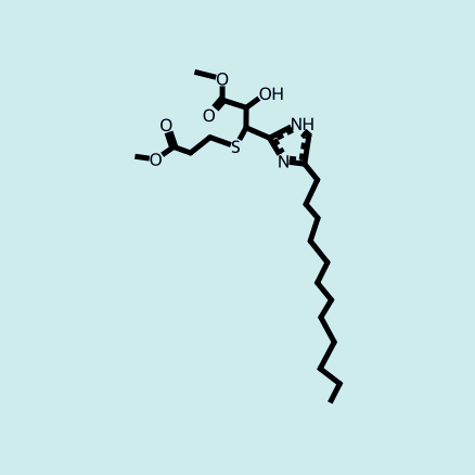 CCCCCCCCCCCCc1c[nH]c(C(SCCC(=O)OC)C(O)C(=O)OC)n1